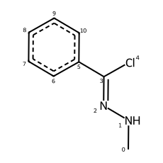 CN/N=C(\Cl)c1ccccc1